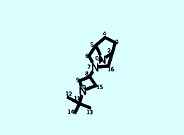 CN1C2CCC1CN(C1CN(C(C)(C)C)C1)C2